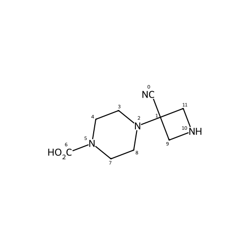 N#CC1(N2CCN(C(=O)O)CC2)CNC1